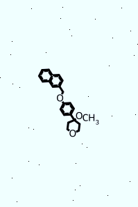 COC1(c2ccc(OCc3ccc4ccccc4c3)cc2)CCOCC1